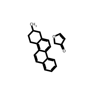 CC1CCc2c(ccc3c2ccc2ccccc23)C1.O=C1C=COC1